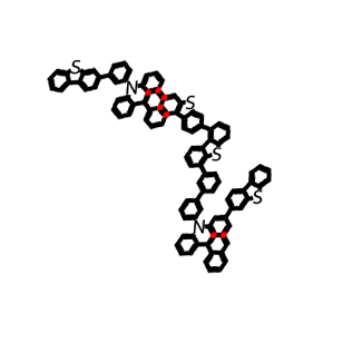 c1cc(-c2cccc(N(c3cccc(-c4ccc5c(c4)sc4ccccc45)c3)c3ccccc3-c3cccc4ccccc34)c2)cc(-c2cccc3c2sc2cccc(-c4ccc5c(c4)sc4cc(-c6cccc(N(c7cccc(-c8ccc9c(c8)sc8ccccc89)c7)c7ccccc7-c7cccc8ccccc78)c6)ccc45)c23)c1